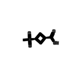 CS(=O)(=O)[C@H]1C[C@@H](C(=O)O)C1